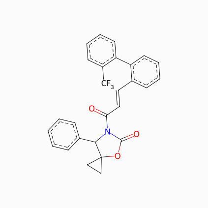 O=C(C=Cc1ccccc1-c1ccccc1C(F)(F)F)N1C(=O)OC2(CC2)C1c1ccccc1